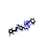 C=C1C=C(c2ccnc(NC3CCCCC3)n2)C=CN1CCc1cccc(C)c1